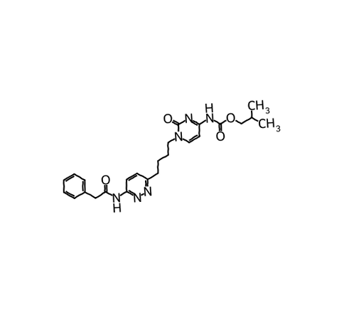 CC(C)COC(=O)Nc1ccn(CCCCc2ccc(NC(=O)Cc3ccccc3)nn2)c(=O)n1